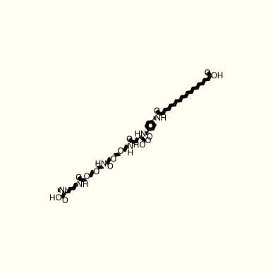 CN[C@@H](CCCCNC(=O)COCCOCCNC(=O)COCCOCCNC(=O)CC[C@H](NC(=O)[C@H]1CC[C@H](CNC(=O)CCCCCCCCCCCCCCCCCC(=O)O)CC1)C(=O)O)C(=O)O